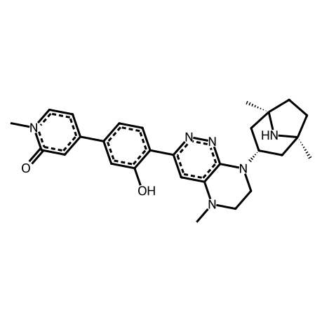 CN1CCN([C@H]2C[C@]3(C)CC[C@](C)(C2)N3)c2nnc(-c3ccc(-c4ccn(C)c(=O)c4)cc3O)cc21